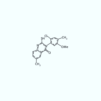 COc1cc(-n2c(S)nc3ccc(C)cc3c2=O)c(Cl)cc1C